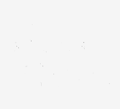 [2H]C1([2H])c2cc(F)cnc2-c2cccc(N)c2N1C